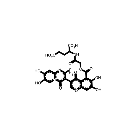 Cc1nc2cc(O)c(O)cn2c(=O)c1-c1coc2cc(O)c(O)c(C(=O)OCC(=O)NC(CCC(=O)O)C(=O)O)c2c1=O